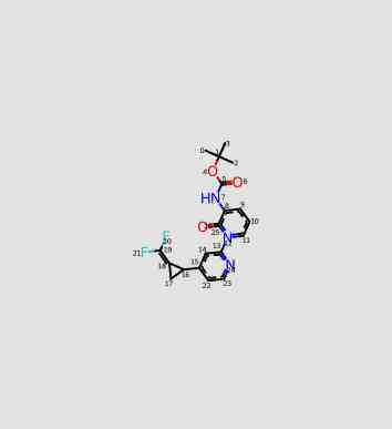 CC(C)(C)OC(=O)Nc1cccn(-c2cc(C3CC3=C(F)F)ccn2)c1=O